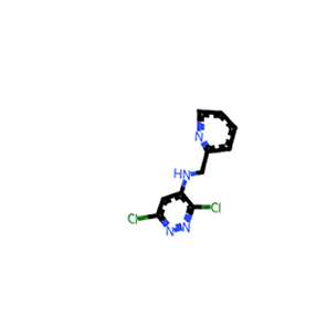 Clc1cc(NCc2ccccn2)c(Cl)nn1